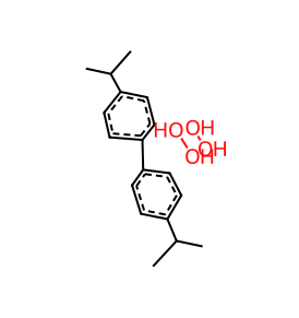 CC(C)c1ccc(-c2ccc(C(C)C)cc2)cc1.OO.OO